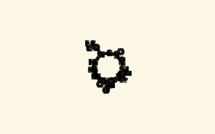 CC[C@H](C)[C@H]1CN[C@@H](CC(C)C)C(C)NCC2[C@@H](C(=O)N3CCCCC3)C(C)N2[C@@H](C2CCCCC2)C(C)NC2(CCCC2)CNCCNC=CC(CCc2ccc(C(F)(F)F)c(Cl)c2)=NC=CN(C)C=C(CC2CCCCC2)N(C)C=C2CCCN2[C@@H](C)C(C)N1